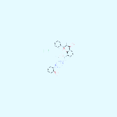 CCOC(CN1CCN(c2ccccc2OC)CC1)c1cccc2c(=O)c(C)c(-c3ccccc3)oc12.Cl